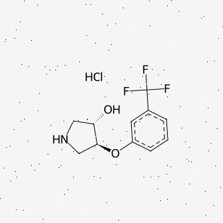 Cl.O[C@H]1CNC[C@@H]1Oc1cccc(C(F)(F)F)c1